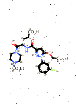 CCOC(=O)COc1cc(C(=O)N[C@@H](CCC(=O)O)C(=O)N2CCN(C(=O)OCC)CC2)nn1-c1cccc(F)c1